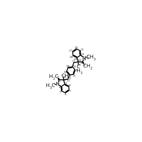 C=C1N(C)c2ccccc2C1(C)Cc1ccc(CC2(C)C(=C)N(C)c3ccccc32)cc1